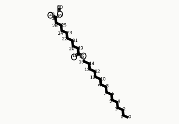 CCCCCCCCCCCCCCCCOC(=O)CCCCCCCCC(=O)OF